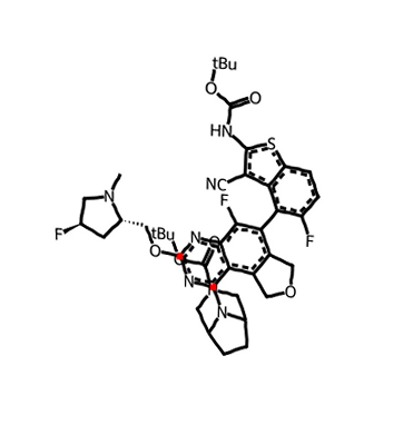 CN1C[C@H](F)C[C@H]1COc1nc(N2C3CCC2CN(C(=O)OC(C)(C)C)C3)c2c3c(c(-c4c(F)ccc5sc(NC(=O)OC(C)(C)C)c(C#N)c45)c(F)c2n1)COC3